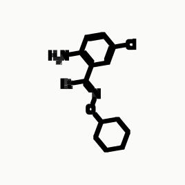 CC/C(=N\OC1CCCCC1)c1cc(Cl)ccc1N